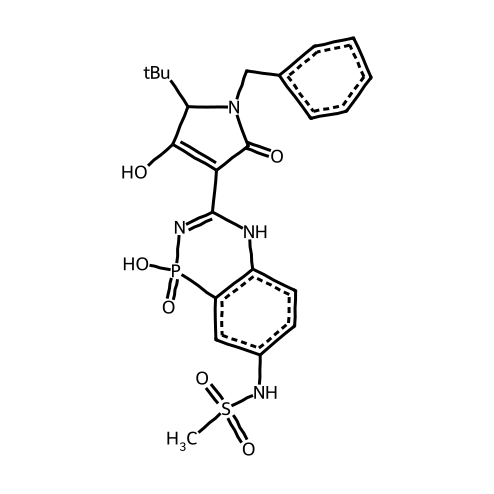 CC(C)(C)C1C(O)=C(C2=NP(=O)(O)c3cc(NS(C)(=O)=O)ccc3N2)C(=O)N1Cc1ccccc1